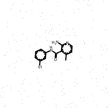 CCc1cccc(NC(=O)c2c(C)ccnc2N)c1